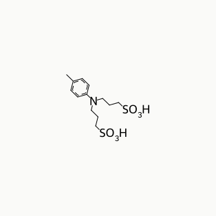 Cc1ccc(N(CCCS(=O)(=O)O)CCCS(=O)(=O)O)cc1